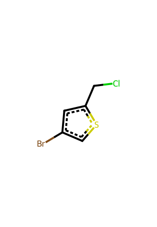 ClCc1cc(Br)cs1